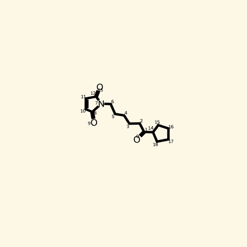 O=C(CCCCCN1C(=O)C=CC1=O)C1CCCC1